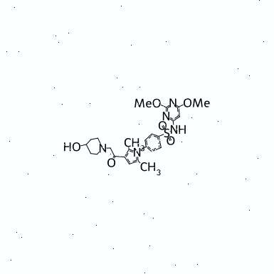 COc1cc(NS(=O)(=O)c2ccc(-n3c(C)cc(C(=O)CN4CCC(O)CC4)c3C)cc2)nc(OC)n1